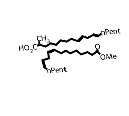 CCCCC/C=C/C/C=C/CCCCCCC(C)C(=O)O.CCCCC/C=C\C/C=C\CCCCCCCC(=O)OC